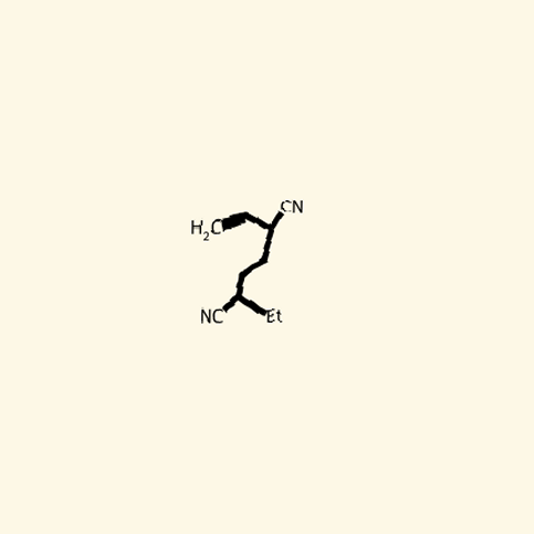 C=CC(C#N)CCC(C#N)CC